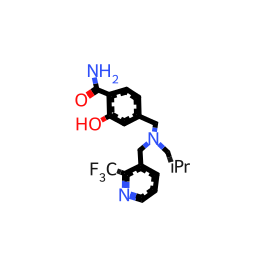 CC(C)CN(Cc1ccc(C(N)=O)c(O)c1)Cc1cccnc1C(F)(F)F